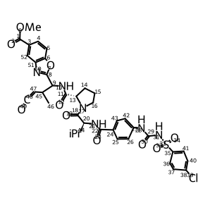 COC(=O)c1ccc2oc(C(NC(=O)[C@@H]3CCCN3C(=O)[C@@H](NC(=O)c3ccc(NC(=O)NS(=O)(=O)c4ccc(Cl)cc4)cc3)C(C)C)C(C)C=C=O)nc2c1